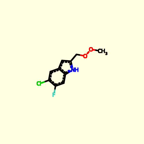 COOCc1cc2cc(Cl)c(F)cc2[nH]1